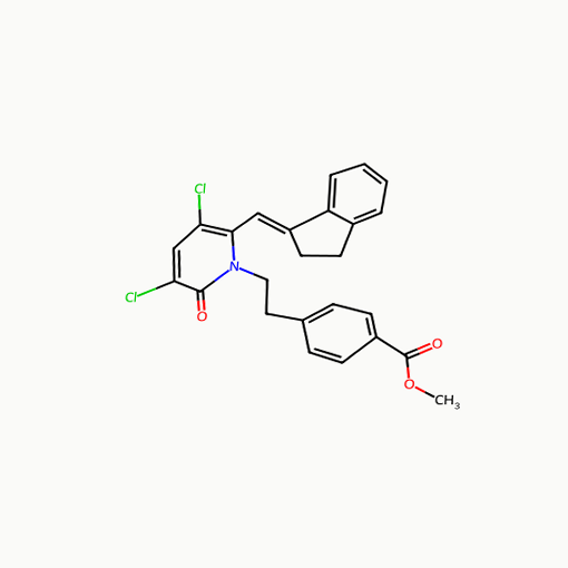 COC(=O)c1ccc(CCn2c(C=C3CCc4ccccc43)c(Cl)cc(Cl)c2=O)cc1